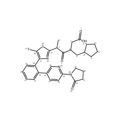 CN(C(=O)C(CC(=O)O)CC1CCCC1)c1nc(-c2ccccc2-c2ccc(N3CCCC3=O)nc2)c(F)s1